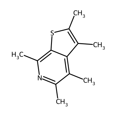 Cc1nc(C)c2sc(C)c(C)c2c1C